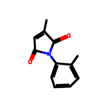 CC1=CC(=O)N(c2ccccc2C)C1=O